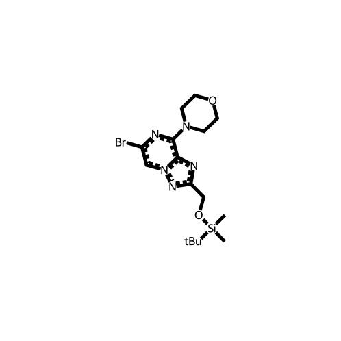 CC(C)(C)[Si](C)(C)OCc1nc2c(N3CCOCC3)nc(Br)cn2n1